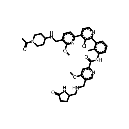 COc1cc(C(=O)Nc2cccc(-c3nccc(-c4ccc(CNC5CCN(C(C)=O)CC5)c(OC)n4)c3Cl)c2C)ncc1CNCC1CCC(=O)N1